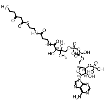 CCCC(=O)CC(=O)SCCNC(=O)CCNC(=O)[C@H](O)C(C)(C)COP(=O)(O)OP(=O)(O)OC[C@H]1O[C@@H](n2cnc3c(N)ncnc32)[C@H](O)[C@@H]1OP(=O)(O)O